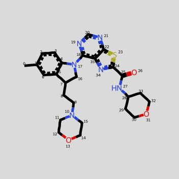 Cc1ccc2c(c1)C(CCN1CCOCC1)CN2c1ncnc2sc(C(=O)NC3CCOCC3)nc12